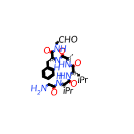 CC(C)C[C@H](NC(=O)[C@@H](NC(=O)CN)C(C)C)C(=O)N[C@@H](C)C(=O)N[C@@H](Cc1ccccc1)C(=O)NC[C]=O